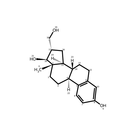 C[C@]12CC[C@@H]3c4ccc(O)cc4CC[C@H]3[C@@H]1C[C@@H](CO)[C@@H]2O